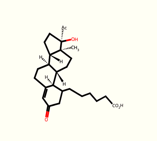 CC(=O)[C@@]1(O)CC[C@H]2[C@@H]3CCC4=CC(=O)CC(CCCCCC(=O)O)[C@@H]4[C@H]3CC[C@@]21C